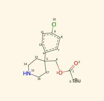 CC(C)(C)C(=O)OCC1(c2ccc(Cl)cc2)CCNCC1